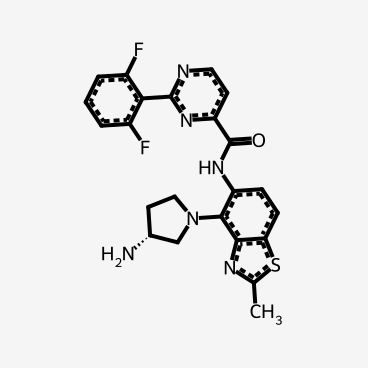 Cc1nc2c(N3CC[C@@H](N)C3)c(NC(=O)c3ccnc(-c4c(F)cccc4F)n3)ccc2s1